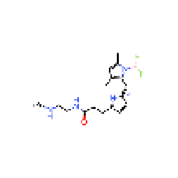 Cc1cc(C)n(B(F)F)c1/C=C1/C=CC(CCC(=O)NCCNC(C)C)=N1